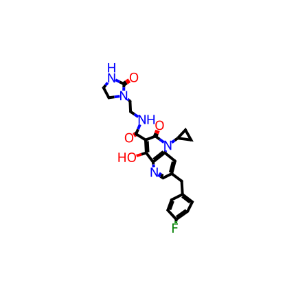 O=C(NCCN1CCNC1=O)c1c(O)c2ncc(Cc3ccc(F)cc3)cc2n(C2CC2)c1=O